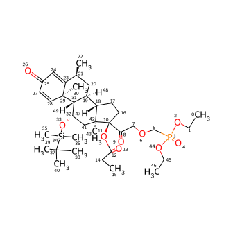 CCOP(=O)(COCC(=O)[C@@]1(OC(=O)CC)CC[C@H]2[C@@H]3C[C@H](C)C4=CC(=O)C=C[C@]4(C)[C@H]3[C@@H](O[Si](C)(C)C(C)(C)C)C[C@@]21C)OCC